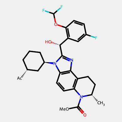 COC(=O)N1c2ccc3c(nc([C@H](O)c4cc(F)ccc4OC(F)F)n3[C@@H]3CCC[C@@H](C(C)=O)C3)c2CC[C@@H]1C